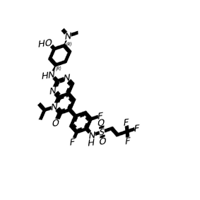 CC(C)n1c(=O)c(-c2cc(F)c(NS(=O)(=O)CCC(F)(F)F)c(F)c2)cc2cnc(N[C@@H]3CC[C@@H](N(C)C)C(O)C3)nc21